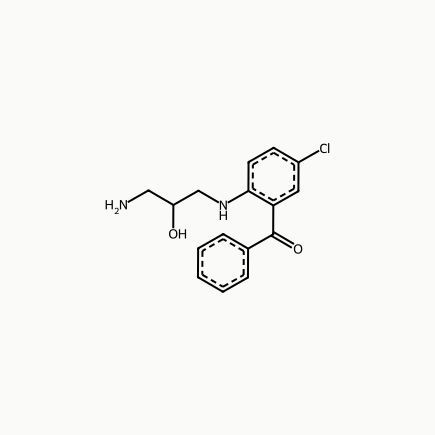 NCC(O)CNc1ccc(Cl)cc1C(=O)c1ccccc1